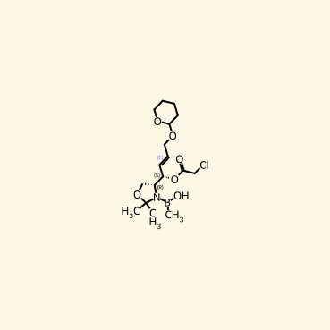 CB(O)N1[C@@H]([C@H](/C=C/COC2CCCCO2)OC(=O)CCl)COC1(C)C